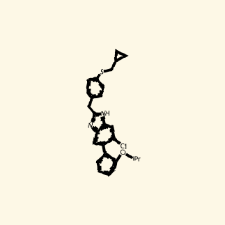 CC(C)Oc1ccccc1-c1cc2nc(Cc3ccc(SCC4CC4)cc3)[nH]c2cc1Cl